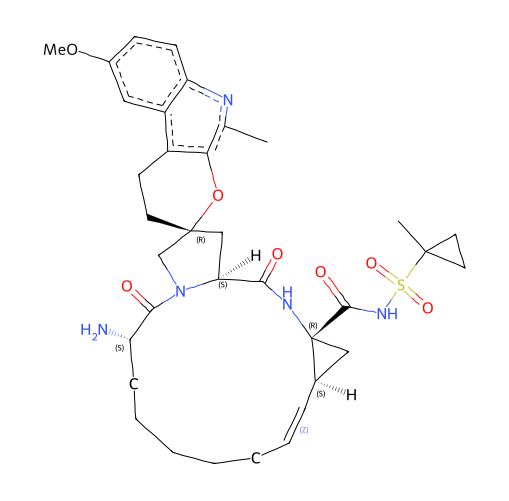 COc1ccc2nc(C)c3c(c2c1)CC[C@]1(C[C@H]2C(=O)N[C@]4(C(=O)NS(=O)(=O)C5(C)CC5)C[C@H]4/C=C\CCCCC[C@H](N)C(=O)N2C1)O3